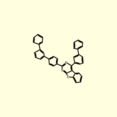 c1ccc(-c2cccc(-c3ccc(-c4nc(-c5cccc(-c6ccccc6)c5)c5c(n4)oc4ccccc45)cc3)c2)cc1